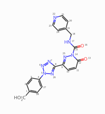 O=C(O)c1ccc(-n2nnc(-c3ccc(=O)n(C(=O)NCc4ccncc4)n3)n2)cc1